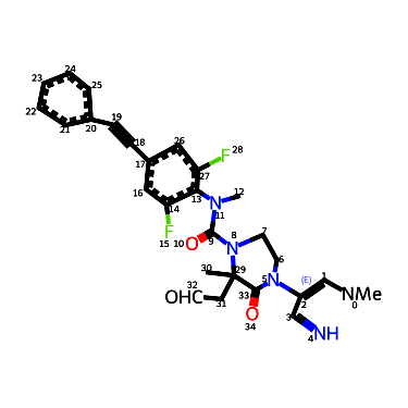 CN/C=C(\C=N)N1CCN(C(=O)N(C)c2c(F)cc(C#Cc3ccccc3)cc2F)C(C)(CC=O)C1=O